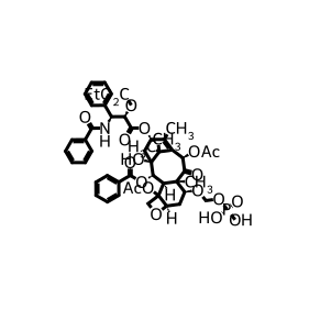 CCOC(=O)O[C@@H](C(=O)O[C@H]1C[C@@]2(O)[C@@H](OC(=O)c3ccccc3)[C@@H]3C4(OC(C)=O)CO[C@@H]4C[C@H](OCOP(=O)(O)O)[C@@]3(C)C(=O)[C@H](OC(C)=O)C(=C1C)C2(C)C)[C@@H](NC(=O)c1ccccc1)c1ccccc1